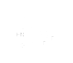 O=C1CC(C2CC2(F)F)c2ccccc2N1